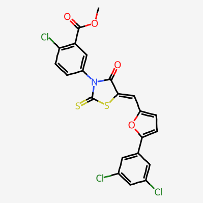 COC(=O)c1cc(N2C(=O)C(=Cc3ccc(-c4cc(Cl)cc(Cl)c4)o3)SC2=S)ccc1Cl